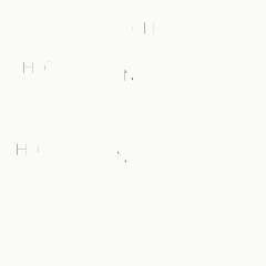 CC1C(C)N2Cc3ccccc3C2CN1C